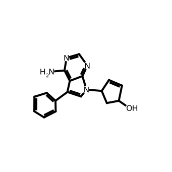 Nc1ncnc2c1c(-c1ccccc1)cn2C1C=CC(O)C1